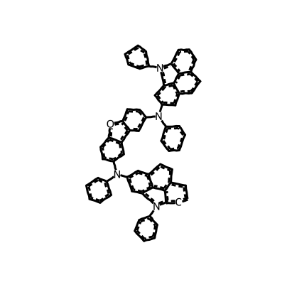 c1ccc(N(c2ccc3oc4ccc(N(c5ccccc5)c5cc6ccc7cccc8c7c6c(c5)n8-c5ccccc5)cc4c3c2)c2cc3ccc4cccc5c4c3c(c2)n5-c2ccccc2)cc1